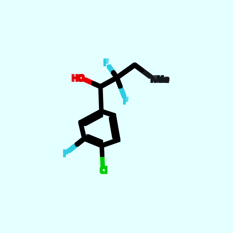 CNCC(F)(F)C(O)c1ccc(Cl)c(F)c1